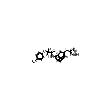 CC(C)(Oc1ccc(Cl)cc1)C(=O)NC1C2CC3CC1CC(Cc1nn[nH]n1)(C3)C2